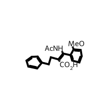 COc1ccccc1/C(NC(C)=O)=C(/CCc1ccccc1)C(=O)O